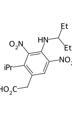 CCC(CC)Nc1c([N+](=O)[O-])cc(CC(=O)O)c(C(C)C)c1[N+](=O)[O-]